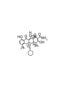 CN(C)c1ccc(O)c2c1[C@H](CSC1CCCCC1)[C@H]1C[C@H]3[C@H](N(C)C)C(O)=C(C(N)=O)C(=O)[C@@]3(O)C(O)=C1C2=O